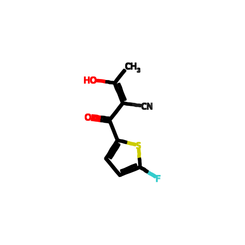 C/C(O)=C(\C#N)C(=O)c1ccc(F)s1